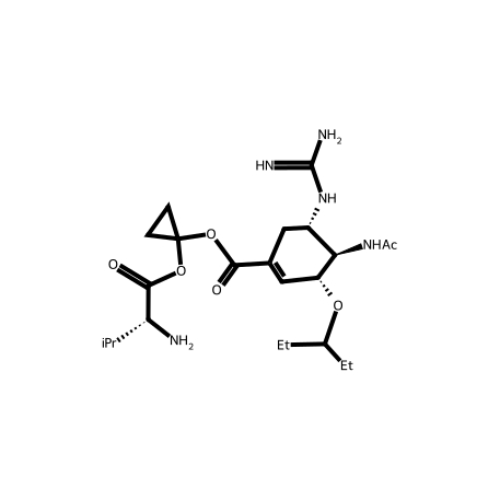 CCC(CC)O[C@@H]1C=C(C(=O)OC2(OC(=O)[C@H](N)C(C)C)CC2)C[C@H](NC(=N)N)[C@H]1NC(C)=O